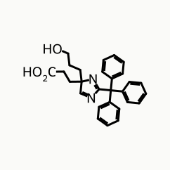 O=C(O)CCC1(CCCO)C=NC(C(c2ccccc2)(c2ccccc2)c2ccccc2)=N1